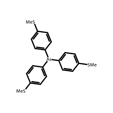 CSc1ccc([As](c2ccc(SC)cc2)c2ccc(SC)cc2)cc1